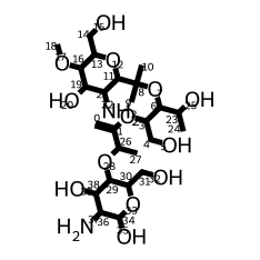 C=C(OC(CO)C(OC(C)(C)C1OC(CO)C(OC)C(O)C1N)C(C)O)C(C)OC1C(CO)OC(O)C(N)C1O